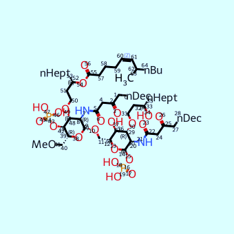 CCCCCCCCCCCC(=O)CC(=O)N[C@H]1[C@H](OC[C@H]2O[C@H](OP(=O)(O)O)[C@H](NC(=O)CC(=O)CCCCCCCCCCC)[C@@H](OCC[C@H](O)CCCCCCC)[C@@H]2O)O[C@H](COC)[C@@H](OP(=O)(O)O)[C@@H]1OCC[C@@H](CCCCCCC)OC(=O)CCC/C=C\C(C)CCCC